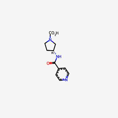 O=C(N[C@@H]1CCN(C(=O)O)C1)c1ccncc1